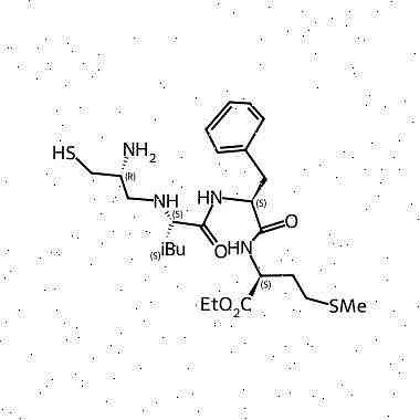 CCOC(=O)[C@H](CCSC)NC(=O)[C@H](Cc1ccccc1)NC(=O)[C@@H](NC[C@@H](N)CS)[C@@H](C)CC